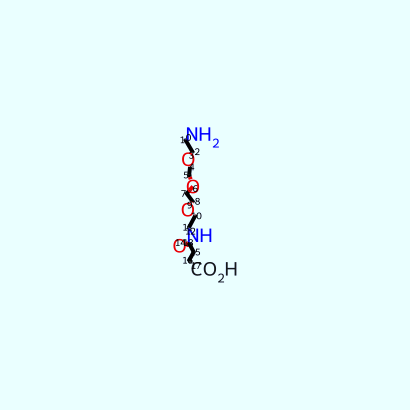 NCCOCCOCCOCCNC(=O)CCC(=O)O